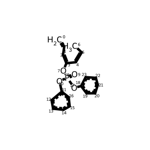 C=C/C=C(\C=C/C)OP(=O)(Oc1ccccc1)Oc1ccccc1